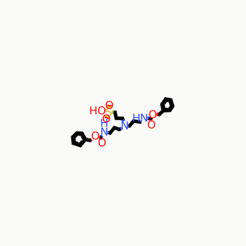 O=C(NCCCN(CCCNC(=O)OCc1ccccc1)CCCS(=O)(=O)O)OCc1ccccc1